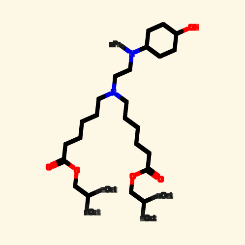 CCCCCCCCC(CCCCCCCC)COC(=O)CCCCCN(CCCCCC(=O)OCC(CCCCCCCC)CCCCCCCC)CCN(CCC)C1CCC(O)CC1